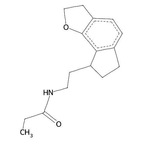 CCC(=O)NCCC1CCc2ccc3c(c21)OCC3